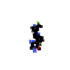 C=C(F)c1cc(-c2ccc3c(ccc4sc5c(c43)NC[C@@H](C)NC5=O)n2)ccn1